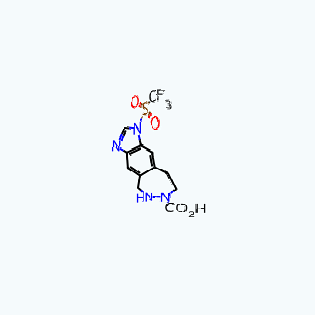 O=C(O)N1CCc2cc3c(cc2CN1)ncn3S(=O)(=O)C(F)(F)F